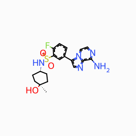 C[C@]1(O)CC[C@H](NS(=O)(=O)c2cc(-c3cnc4c(N)nccn34)ccc2F)CC1